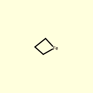 C1[CH2][Fe][CH2]1